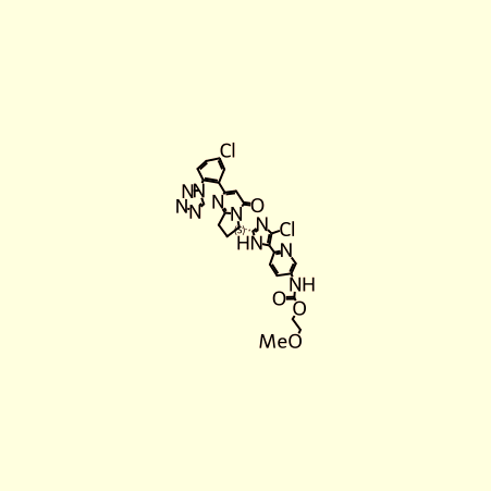 COCCOC(=O)Nc1ccc(-c2[nH]c([C@@H]3CCc4nc(-c5cc(Cl)ccc5-n5cnnn5)cc(=O)n43)nc2Cl)nc1